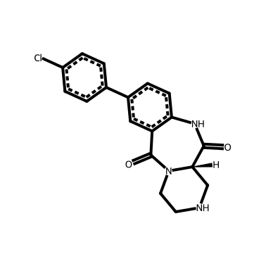 O=C1Nc2ccc(-c3ccc(Cl)cc3)cc2C(=O)N2CCNC[C@@H]12